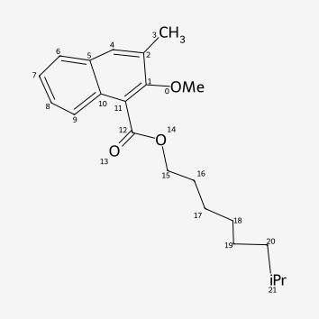 COc1c(C)cc2ccccc2c1C(=O)OCCCCCCC(C)C